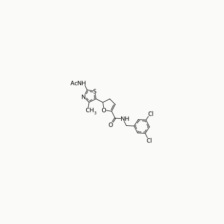 CC(=O)Nc1nc(C)c(C2CC=C(C(=O)NCc3cc(Cl)cc(Cl)c3)O2)s1